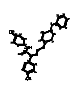 N#Cc1ccc(N(CCCN2CCC(Cc3ccccc3)CC2)C(=O)Nc2ccc(Cl)cc2)cc1